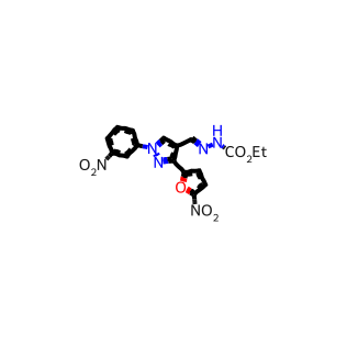 CCOC(=O)NN=Cc1cn(-c2cccc([N+](=O)[O-])c2)nc1-c1ccc([N+](=O)[O-])o1